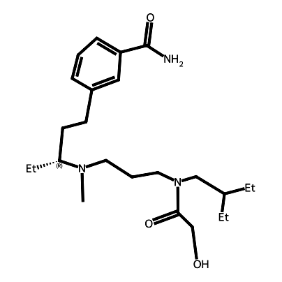 CCC(CC)CN(CCCN(C)[C@H](CC)CCc1cccc(C(N)=O)c1)C(=O)CO